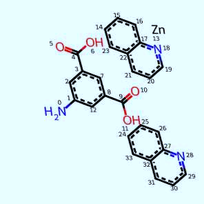 Nc1cc(C(=O)O)cc(C(=O)O)c1.[Zn].c1ccc2ncccc2c1.c1ccc2ncccc2c1